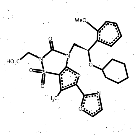 COc1ccccc1[C@H](CN1C(=O)N(CC(=O)O)S(=O)(=O)c2c1sc(-c1ncco1)c2C)OC1CCCCC1